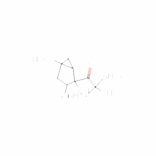 CCCCCCC(C)(CCCCCC)C(=O)C1(C)C(C)CC2(C(=O)O)CC21